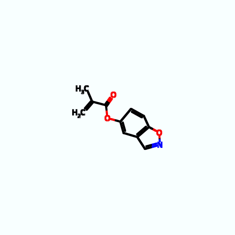 C=C(C)C(=O)Oc1ccc2oncc2c1